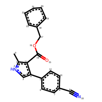 Cc1[nH]cc(-c2ccc(C#N)cc2)c1C(=O)OCc1ccccc1